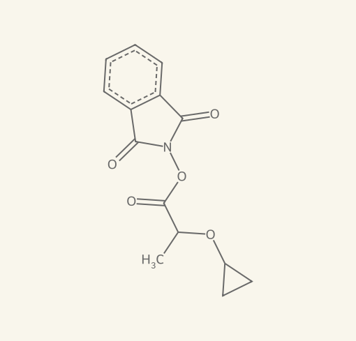 CC(OC1CC1)C(=O)ON1C(=O)c2ccccc2C1=O